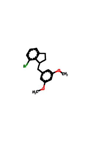 COc1cc(CC2CCc3cccc(Br)c32)cc(OC)c1